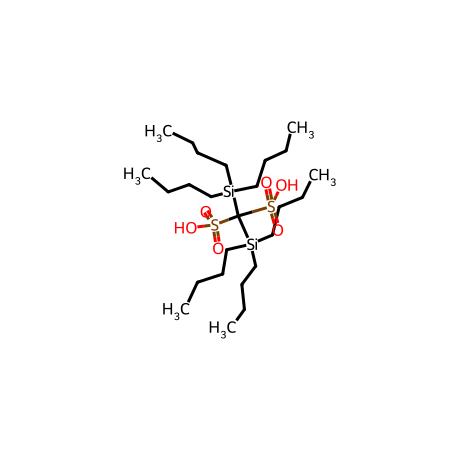 CCCC[Si](CCCC)(CCCC)C([Si](CCCC)(CCCC)CCCC)(S(=O)(=O)O)S(=O)(=O)O